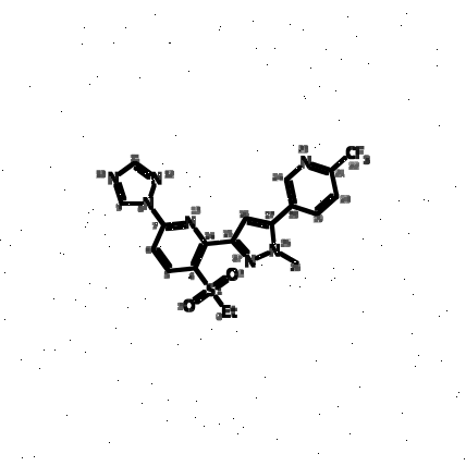 CCS(=O)(=O)c1ccc(-n2cncn2)nc1-c1cc(-c2ccc(C(F)(F)F)nc2)n(C)n1